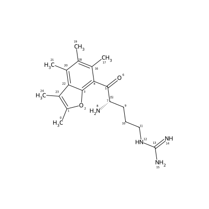 Cc1oc2c(C(=O)[C@@H](N)CCCNC(=N)N)c(C)c(C)c(C)c2c1C